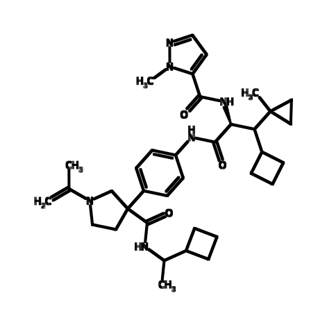 C=C(C)N1CCC(C(=O)NC(C)C2CCC2)(c2ccc(NC(=O)[C@@H](NC(=O)c3ccnn3C)C(C3CCC3)C3(C)CC3)cc2)C1